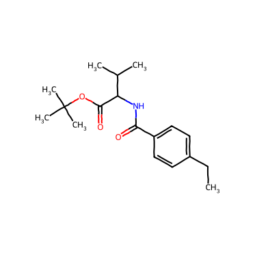 CCc1ccc(C(=O)NC(C(=O)OC(C)(C)C)C(C)C)cc1